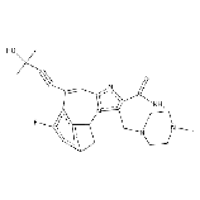 CN1CCN(Cc2c(C(N)=O)nc3n2C2Cc4cc(F)c(c2c4)C(C#CC(C)(C)O)=C3)CC1